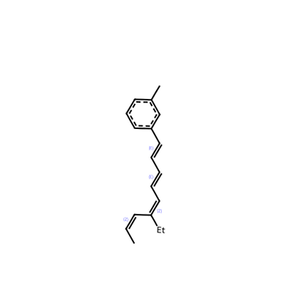 C\C=C/C(=C\C=C\C=C\c1cccc(C)c1)CC